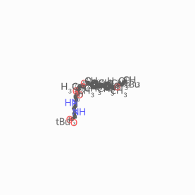 CC(C)(C)OC(=O)CCNCCNCCC(=O)OC(C)(C)CCOC(C)(C)c1ccc(C(C)(C)c2ccc(C(C)(C)OCCC(C)(C)C(C)(C)C)cc2)cc1